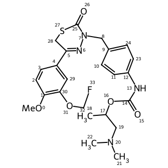 COc1ccc(C2=NN(Cc3ccc(NC(=O)OC(C)CN(C)C)cc3)C(=O)SC2)cc1OCF